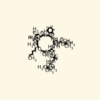 CCCCCC[C@H]1OC[C@@H](C)NC(=O)[C@H](COCC(F)(F)CNC(=O)OC(C)(C)C)NC(=O)[C@H](CNC(=O)OC(C)(C)C)NC(=O)[C@H](C2CCCCC2)NC(=O)[C@H](CC(C)C)N(C)C(=O)[C@@H]1C